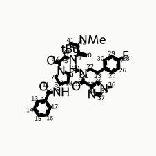 C=C(N[C@H](C(=O)N1C[C@@H](NC(=O)c2ccccc2)C[C@H]1CN(CCc1ccc(F)cc1)C(=O)c1cn(C)cn1)C(C)(C)C)[C@H](C)NC